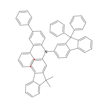 CC1(C)c2ccccc2-c2ccc(N(c3ccc4c(c3)C(c3ccccc3)(c3ccccc3)c3ccccc3-4)c3ccc(-c4ccccc4)cc3-c3ccccc3)cc21